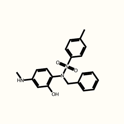 CNc1ccc(N(Cc2ccccc2)S(=O)(=O)c2ccc(C)cc2)c(O)c1